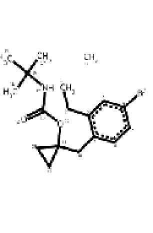 C.CCc1cc(Br)ccc1CC1(OC(=O)NC(C)(C)C)CC1